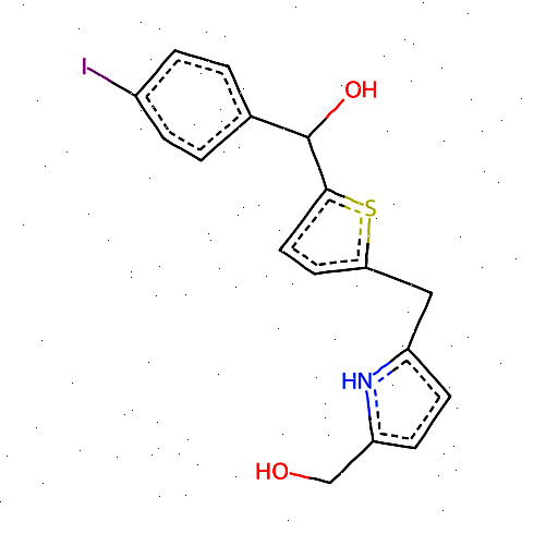 OCc1ccc(Cc2ccc(C(O)c3ccc(I)cc3)s2)[nH]1